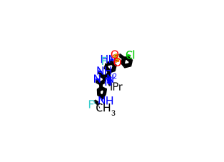 CC(C)n1nc(-c2ccc(NS(=O)(=O)Cc3ccccc3Cl)c(F)c2)c2c(N)ncc(C3=CC[C@H](N[C@H](C)CF)CC3)c21